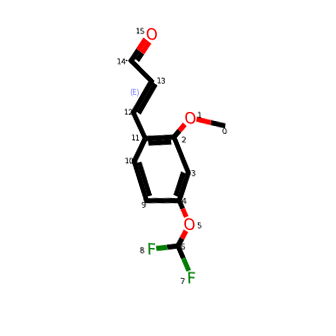 COc1cc(OC(F)F)ccc1/C=C/[C]=O